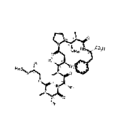 CC[C@H](C)[C@@H]([C@@H](CC(=O)N1CCC[C@H]1[C@H](OC)[C@@H](C)C(=O)N[C@@H](Cc1ccccc1)C(=O)O)OC)N(C)C(=O)[C@@H](NC(=O)[C@H](C(C)C)N(C)C(=O)OC[C@H](SSC)C(C)C)C(C)C